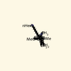 C=CCOP(=O)(OCC=C)O[C@H]1[C@H](OCC[C@@H](CCCCCCC)OC)[C@@H](OCCCCCCCCCC/C=C\CCCCCC)C(O/C=C/C)O[C@@H]1COC